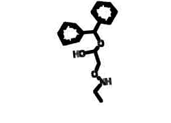 CCNOCC(O)OC(c1ccccc1)c1ccccc1